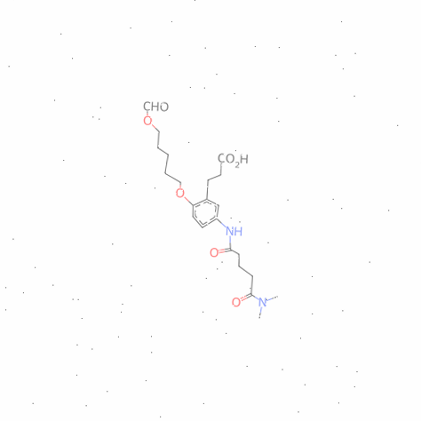 CN(C)C(=O)CCCC(=O)Nc1ccc(OCCCCCOC=O)c(CCC(=O)O)c1